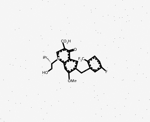 COc1cc2c(cc1Cc1cc(F)ccc1C(F)(F)F)c(=O)c(C(=O)O)cn2[C@H](CO)C(C)C